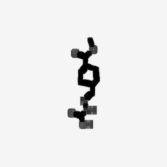 COC(=O)c1ccc(C=NNC(=O)O)cc1